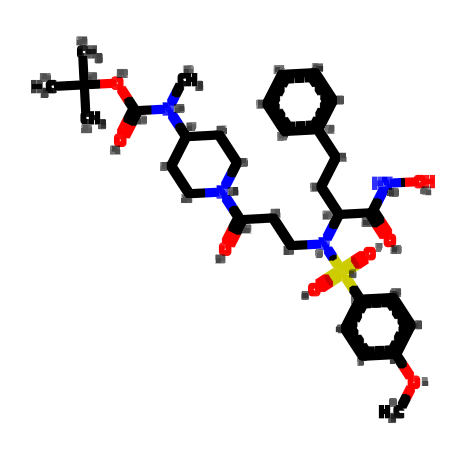 COc1ccc(S(=O)(=O)N(CCC(=O)N2CCC(N(C)C(=O)OC(C)(C)C)CC2)C(CCc2ccccc2)C(=O)NO)cc1